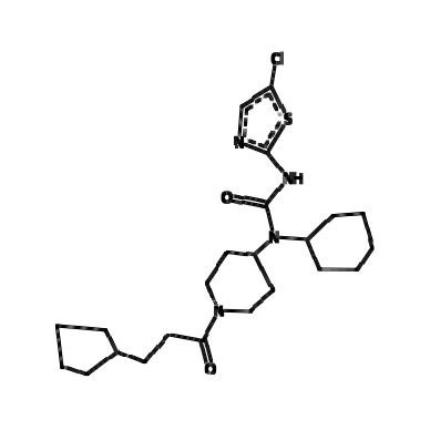 O=C(CCC1CCCC1)N1CCC(N(C(=O)Nc2ncc(Cl)s2)C2CCCCC2)CC1